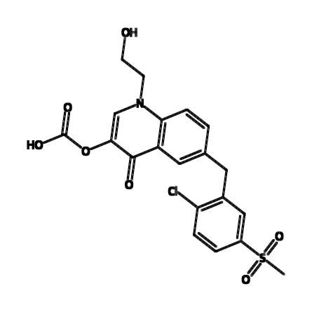 CS(=O)(=O)c1ccc(Cl)c(Cc2ccc3c(c2)c(=O)c(OC(=O)O)cn3CCO)c1